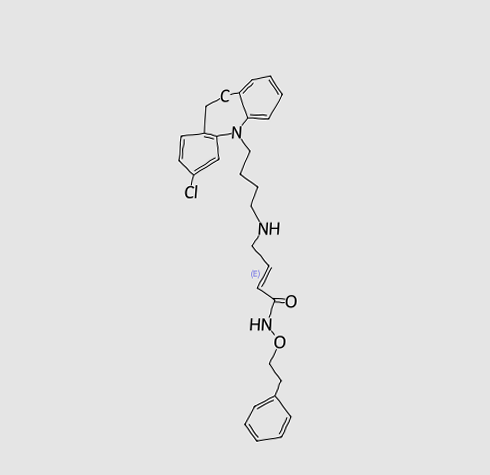 O=C(/C=C/CNCCCCN1c2ccccc2CCc2ccc(Cl)cc21)NOCCc1ccccc1